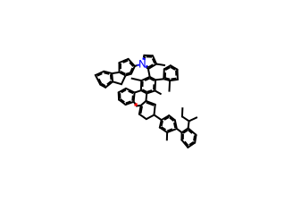 CCC(C)c1ccccc1-c1ccc(C2C=C(c3c(C)c(-c4ccccc4C)c(-c4c(C)ccn4-c4ccc5c(c4)Cc4ccccc4-5)c(C)c3-c3ccccc3C)C(C)=CC2)cc1C